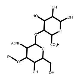 CC(=O)NC1C(OC2C(C(=O)O)OC(O)C(O)C2O)OC(CO)C(O)C1OC(C)C